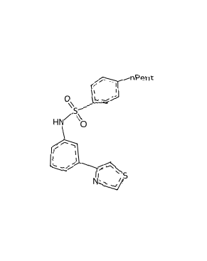 CCCCCc1ccc(S(=O)(=O)Nc2cccc(-c3cscn3)c2)cc1